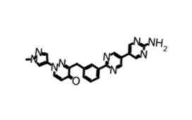 Cn1cc(-n2ccc(=O)c(Cc3cccc(-c4ncc(-c5cnc(N)nc5)cn4)c3)n2)cn1